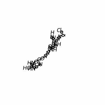 Cc1ncsc1-c1ccc([C@H](C)NC(=O)[C@@H]2C[C@@H](O)CN2C(=O)[C@@H](NCCOCCOCCOCCN2CCC(N3CCC(CNc4ccc(S(=O)(=O)NC(=O)c5ccc(N6CCN(CC7=C(c8ccc(Cl)cc8)CC(C)(C)CC7)CC6)cc5Oc5cnc6[nH]ccc6c5)cc4[N+](=O)[O-])CC3)CC2)C(C)(C)C)cc1